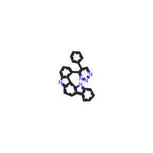 c1ccc(-c2cnnnc2-c2cccc3c2-c2c4c(ccc2=N3)=c2ccccc2=N4)cc1